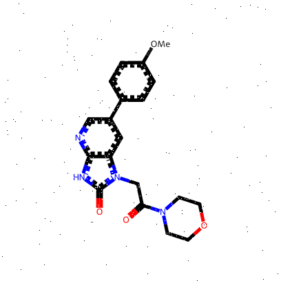 COc1ccc(-c2cnc3[nH]c(=O)n(CC(=O)N4CCOCC4)c3c2)cc1